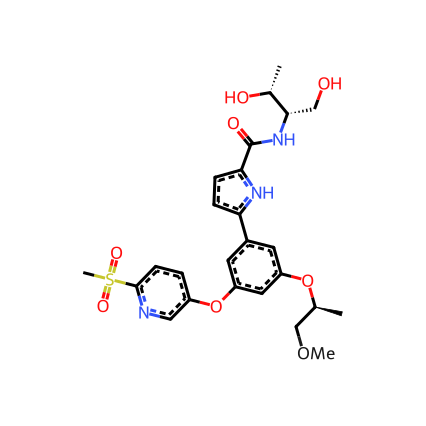 COC[C@H](C)Oc1cc(Oc2ccc(S(C)(=O)=O)nc2)cc(-c2ccc(C(=O)N[C@@H](CO)[C@@H](C)O)[nH]2)c1